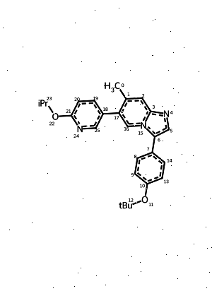 Cc1cc2ncc(-c3ccc(OC(C)(C)C)cc3)n2cc1-c1ccc(OC(C)C)nc1